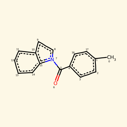 Cc1ccc(C(=O)n2ccc3ccccc32)cc1